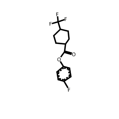 O=C(Oc1ccc(F)cc1)C1CCC(C(F)(F)F)CC1